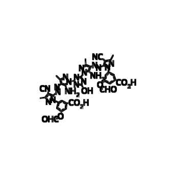 Cc1nn(-c2cc(OC=O)cc(C(=O)O)c2)c(N=Nc2c(C)nn(-c3nc(O)nc(-n4nc(C)c(N=Nc5c(C#N)c(C)nn5-c5cc(OC=O)cc(C(=O)O)c5)c4N)n3)c2N)c1C#N